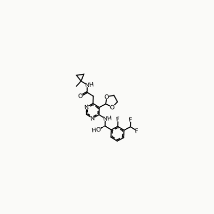 CC1(NC(=O)Cc2ncnc(N[C@H](O)c3cccc(C(F)F)c3F)c2C2OCCO2)CC1